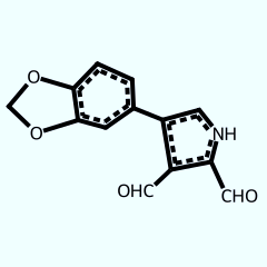 O=Cc1[nH]cc(-c2ccc3c(c2)OCO3)c1C=O